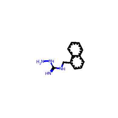 N=C(NN)NCc1cccc2ccccc12